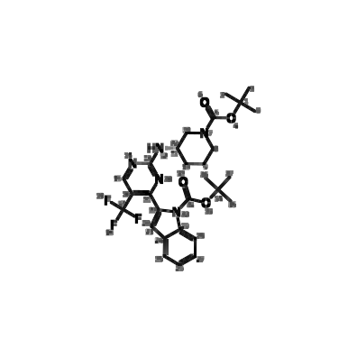 CC(C)(C)OC(=O)N1CCC[C@H](Nc2ncc(C(F)(F)F)c(-c3cc4ccccc4n3C(=O)OC(C)(C)C)n2)C1